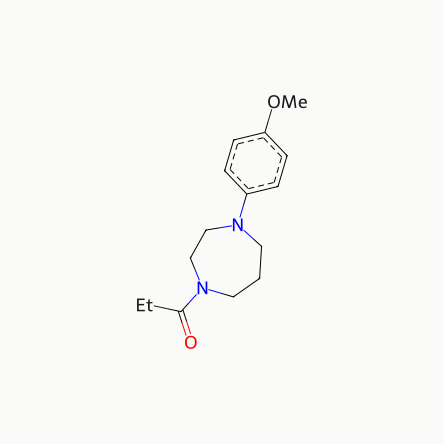 CCC(=O)N1CCCN(c2ccc(OC)cc2)CC1